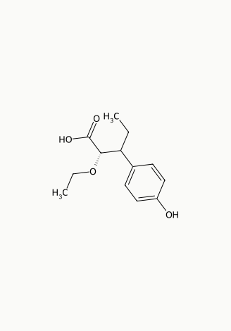 CCO[C@H](C(=O)O)C(CC)c1ccc(O)cc1